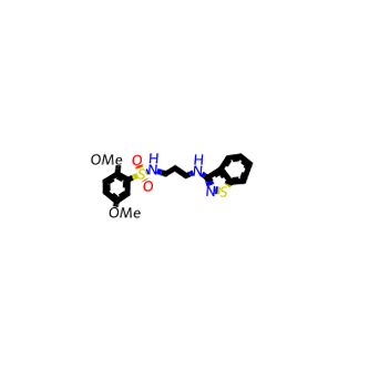 COc1ccc(OC)c(S(=O)(=O)NCCCNc2nsc3ccccc23)c1